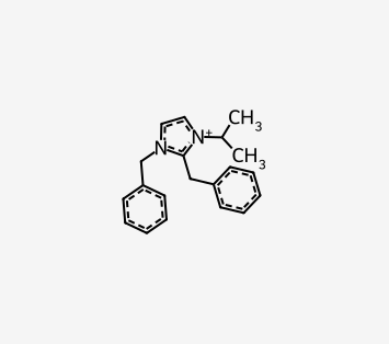 CC(C)[n+]1ccn(Cc2ccccc2)c1Cc1ccccc1